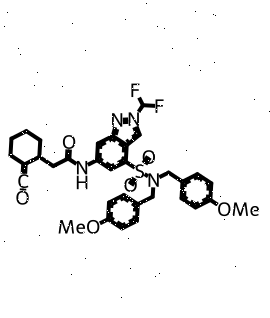 COc1ccc(CN(Cc2ccc(OC)cc2)S(=O)(=O)c2cc(NC(=O)CC3CCCCC3=C=O)cc3nn(C(F)F)cc23)cc1